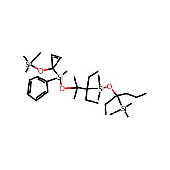 CCCC(CC)(O[Si](C)(C)C(CC)(CC)C(C)(C)O[Si](C)(c1ccccc1)C1(O[Si](C)(C)C)C=C1)[Si](C)(C)C